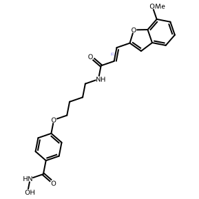 COc1cccc2cc(/C=C/C(=O)NCCCCOc3ccc(C(=O)NO)cc3)oc12